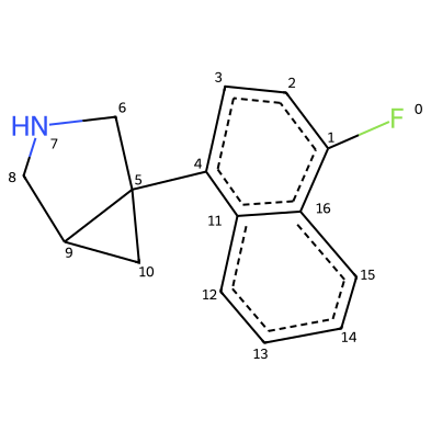 Fc1ccc(C23CNCC2C3)c2ccccc12